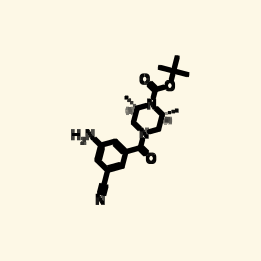 C[C@@H]1CN(C(=O)c2cc(N)cc(C#N)c2)C[C@H](C)N1C(=O)OC(C)(C)C